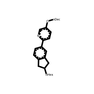 CCCCCCCCCCOc1ccc(-c2ccc3c(c2)CC(CCCCCC)C3)nc1